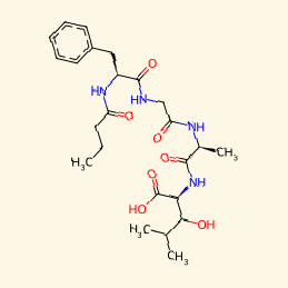 CCCC(=O)N[C@@H](Cc1ccccc1)C(=O)NCC(=O)N[C@@H](C)C(=O)N[C@H](C(=O)O)C(O)C(C)C